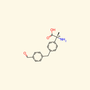 C[C@](N)(C(=O)O)c1ccc(Cc2ccc(C=O)cc2)cc1